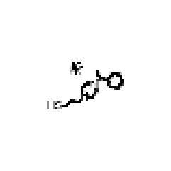 CC(c1ccccc1)N1CCN(CCCS)CC1.Cl.Cl